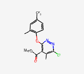 COC(=O)c1c(Oc2ccc(C(F)(F)F)cc2C)nnc(Cl)c1C